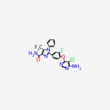 NC(=O)c1nc(-c2ccc(Oc3ncnc(N)c3Cl)c(F)c2)n(-c2ccccc2)c1C(F)(F)F